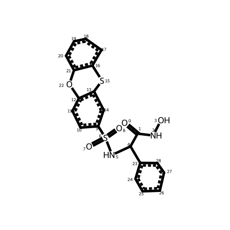 O=C(NO)C(NS(=O)(=O)c1ccc2c(c1)Sc1ccccc1O2)c1ccccc1